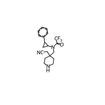 N#CCC1(CN(C(=O)C(F)(F)F)C2CC2c2ccccc2)CCNCC1